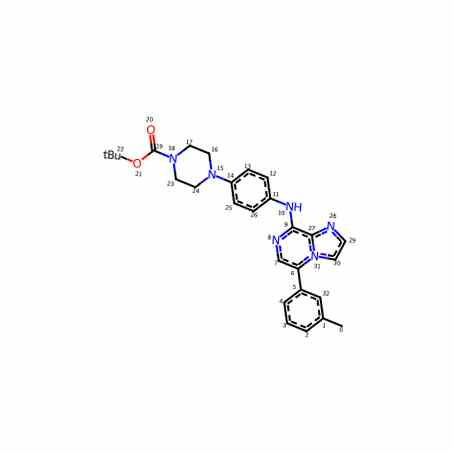 Cc1cccc(-c2cnc(Nc3ccc(N4CCN(C(=O)OC(C)(C)C)CC4)cc3)c3nccn23)c1